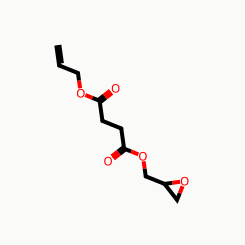 C=CCOC(=O)CCC(=O)OCC1CO1